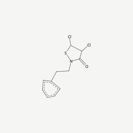 O=C1C(Cl)C(Cl)SN1CCc1ccccc1